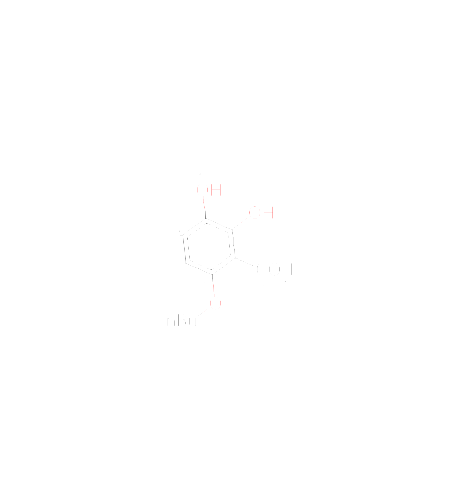 CCCCOc1ccc(O)c(O)c1C(=O)O